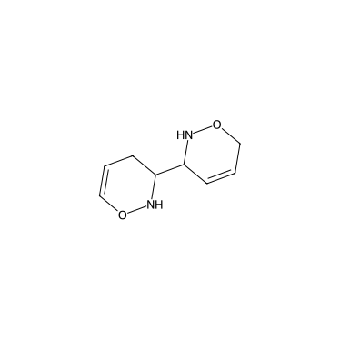 C1=CC(C2CC=CON2)NOC1